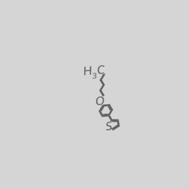 CCCCCCOc1ccc(-c2cccs2)cc1